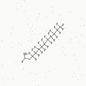 FC(S)CC(F)(F)C(F)(F)C(F)(F)C(F)(F)C(F)(F)C(F)(F)C(F)(F)C(F)(F)C(F)(F)C(F)(F)F